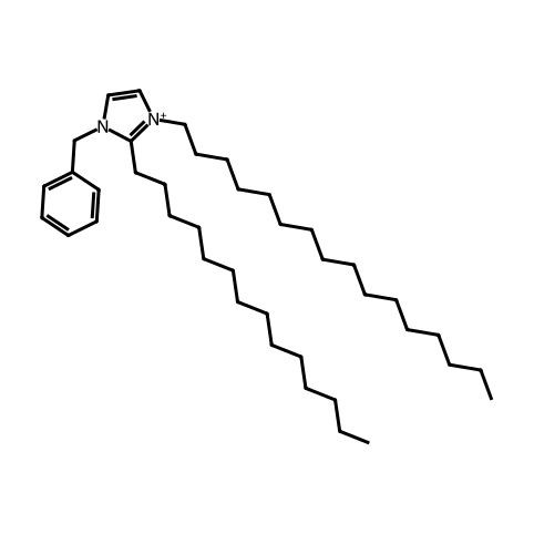 CCCCCCCCCCCCCCCC[n+]1ccn(Cc2ccccc2)c1CCCCCCCCCCCCCC